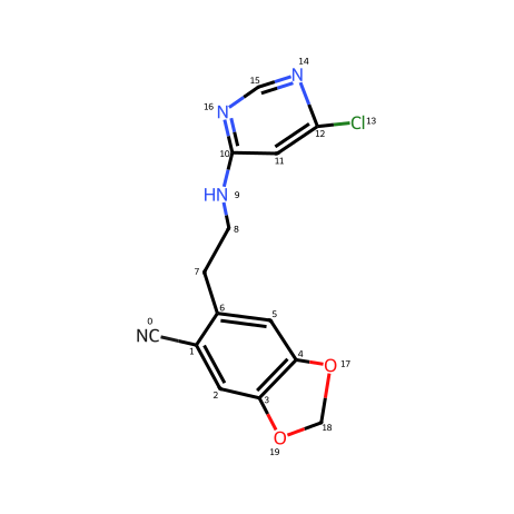 N#Cc1cc2c(cc1CCNc1cc(Cl)ncn1)OCO2